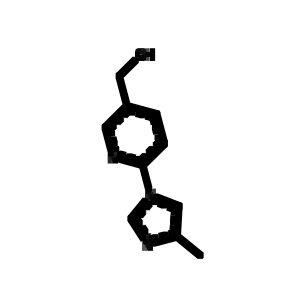 Cc1cn(-c2ccc(CO)cn2)cn1